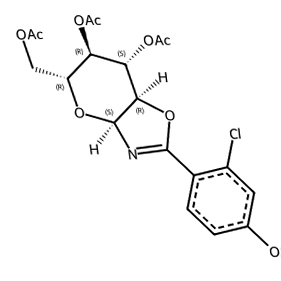 COc1ccc(C2=N[C@H]3O[C@H](COC(C)=O)[C@@H](OC(C)=O)[C@H](OC(C)=O)[C@H]3O2)c(Cl)c1